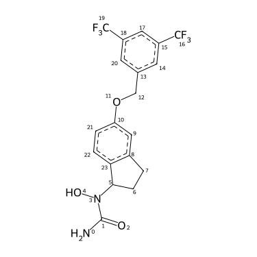 NC(=O)N(O)C1CCc2cc(OCc3cc(C(F)(F)F)cc(C(F)(F)F)c3)ccc21